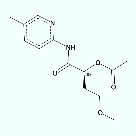 COCC[C@H](OC(C)=O)C(=O)Nc1ccc(C)cn1